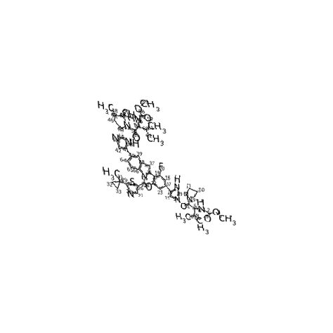 COC(=O)N[C@H](C(=O)N1CCC[C@H]1c1ncc(-c2cc(F)c3c(c2)OC(c2cnc(C4(C)CC4)s2)n2c-3cc3cc(-c4cnc([C@@H]5C[C@@H](C)[C@@H](C)N5C(=O)[C@@H](NC(=O)OC)C(C)C)[nH]4)ccc32)[nH]1)C(C)C